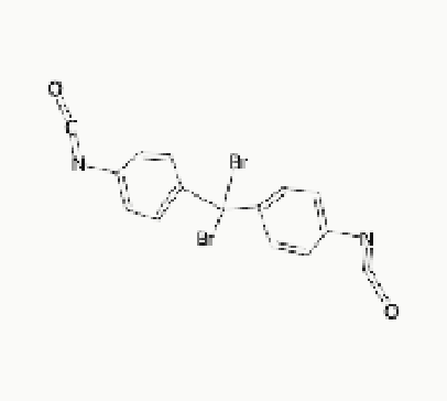 O=C=Nc1ccc(C(Br)(Br)c2ccc(N=C=O)cc2)cc1